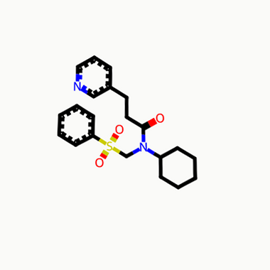 O=C(CCc1cccnc1)N(CS(=O)(=O)c1ccccc1)C1CCCCC1